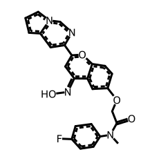 CN(C(=O)COc1ccc2oc(-c3cc4cccn4cn3)c/c(=N\O)c2c1)c1ccc(F)cc1